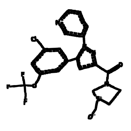 O=C(c1cc(-c2cc(Cl)cc(OC(F)(F)F)c2)n(-c2cccnc2)n1)N1CC[S+]([O-])C1